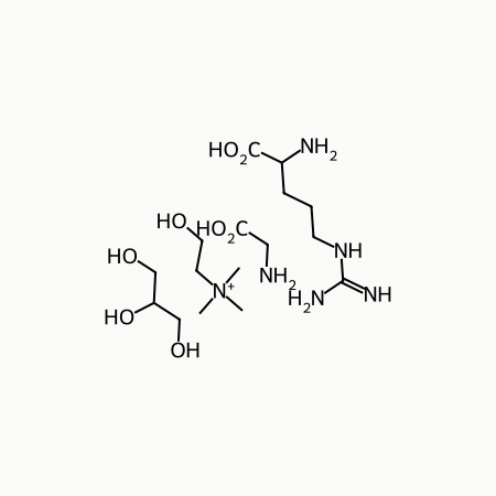 C[N+](C)(C)CCO.N=C(N)NCCCC(N)C(=O)O.NCC(=O)O.OCC(O)CO